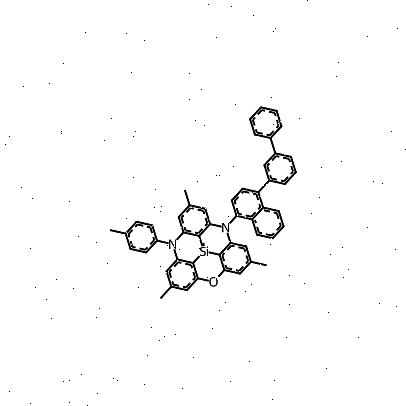 Cc1ccc(N2c3cc(C)cc4c3[Si]3(C)c5c(cc(C)cc5N(c5ccc(-c6cccc(-c7ccccc7)c6)c6ccccc56)c5cc(C)cc2c53)O4)cc1